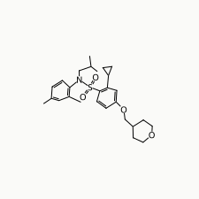 Cc1ccc(N(CC(C)C)S(=O)(=O)c2ccc(OCC3CCOCC3)cc2C2CC2)c(C)c1